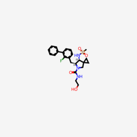 CS(=O)(=O)N[C@@H]1[C@H](Cc2cccc(-c3ccccc3)c2F)N(C(=O)NCCO)CC12CC2